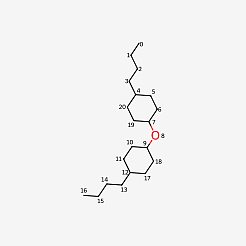 CCCCC1CCC(OC2CCC(CCCC)CC2)CC1